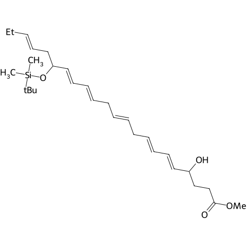 CC/C=C/CC(/C=C/C=C/C/C=C/C/C=C/C=C/C(O)CCC(=O)OC)O[Si](C)(C)C(C)(C)C